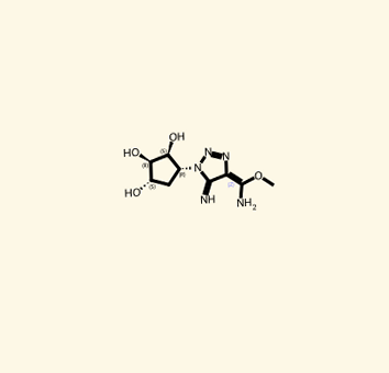 CO/C(N)=C1\N=NN([C@@H]2C[C@H](O)[C@@H](O)[C@H]2O)C1=N